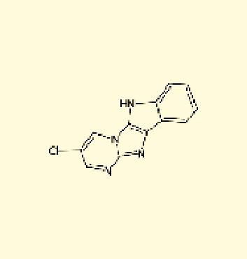 Clc1cnc2nc3c4ccccc4[nH]c3n2c1